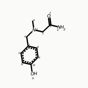 CN(CC(N)=O)Cc1ccc(O)cc1